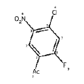 CC(=O)c1cc([N+](=O)[O-])c(Cl)cc1F